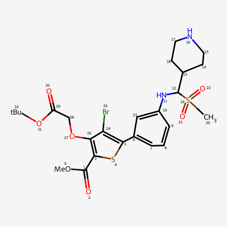 COC(=O)c1sc(-c2cccc(NC(C3CCNCC3)S(C)(=O)=O)c2)c(Br)c1OCC(=O)OC(C)(C)C